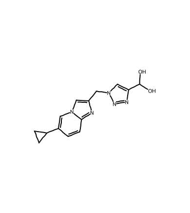 OC(O)c1cn(Cc2cn3cc(C4CC4)ccc3n2)nn1